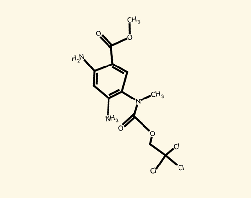 COC(=O)c1cc(N(C)C(=O)OCC(Cl)(Cl)Cl)c(N)cc1N